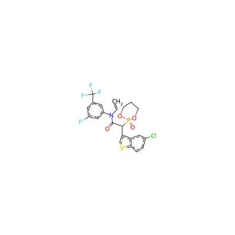 C=CN(C(=O)C(c1csc2ccc(Cl)cc12)P1(=O)OCCCO1)c1cc(F)cc(C(F)(F)F)c1